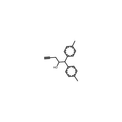 C#CCC(O)C(c1ccc(C)cc1)c1ccc(C)cc1